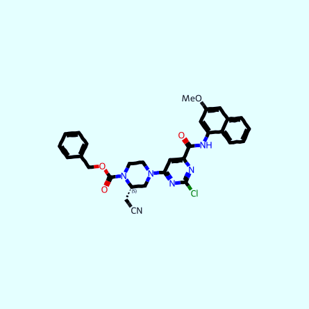 COc1cc(NC(=O)c2cc(N3CCN(C(=O)OCc4ccccc4)[C@@H](CC#N)C3)nc(Cl)n2)c2ccccc2c1